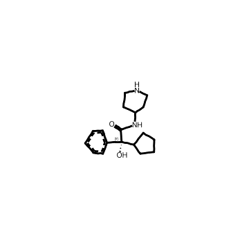 O=C(NC1CCNCC1)[C@](O)(c1ccccc1)C1CCCC1